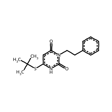 CC(C)(C)Sc1cc(=O)n(CCc2ccccc2)c(=O)[nH]1